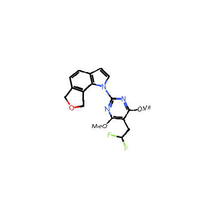 COc1nc(-n2ccc3ccc4c(c32)COC4)nc(OC)c1CC(F)F